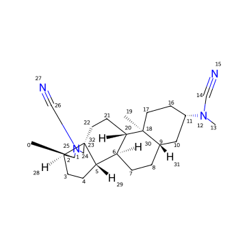 C[C@H]1[C@H]2CC[C@H]3[C@@H]4CC[C@H]5C[C@@H](N(C)C#N)CC[C@]5(C)[C@H]4CC[C@]23CN1C#N